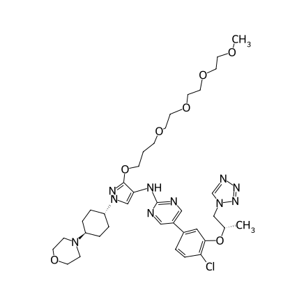 COCCOCCOCCOCCCOc1nn([C@H]2CC[C@H](N3CCOCC3)CC2)cc1Nc1ncc(-c2ccc(Cl)c(O[C@@H](C)Cn3cnnn3)c2)cn1